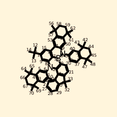 Cc1cc2c(cc1N1c3cc(C(C)(C)C)cc4c3B(c3ccc5c(c31)-c1ccccc1C5(C)C)N(c1ccc3c(c1)C(C)(C)CCC3(C)C)c1cc3c(cc1-4)C(C)(C)CCC3(C)C)C(C)(C)CCC2(C)C